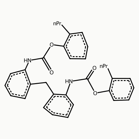 CCCc1ccccc1OC(=O)Nc1ccccc1Cc1ccccc1NC(=O)Oc1ccccc1CCC